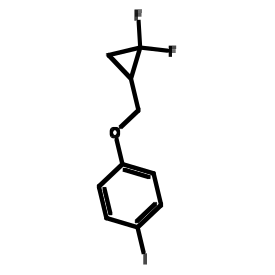 FC1(F)CC1COc1ccc(I)cc1